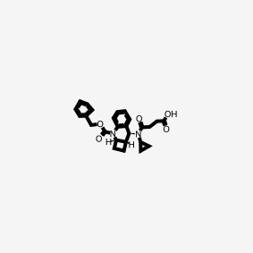 O=C(O)CCC(=O)N(C1CC1)[C@H]1c2ccccc2N(C(=O)OCc2ccccc2)[C@@H]2CC[C@@H]21